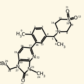 Cc1ccc([C@H](C)N2CCS(=O)(=O)CC2)cc1-c1ccc2c(n1)n(C)c(=O)n2CC(C)(C)C